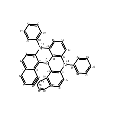 c1ccc2ccc3c(c2c#1)B1c2c(cccc2N3c2ccccc2)N(c2ccccc2)c2ccc3c(c21)CCC=C3